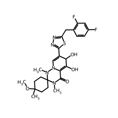 COC1(C)CCC2(CC1)N(C)C(=O)C1=C(O)C(O)C(c3nnc(Cc4ccc(F)cc4F)s3)=CN1N2C